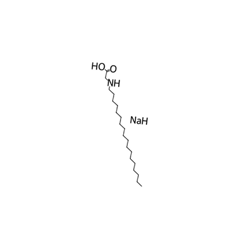 CCCCCCCCCCCCCCCCCCNCC(=O)O.[NaH]